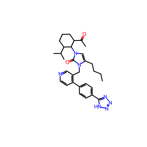 CCCCc1cn(C2C(C(C)=O)CCCC2C(C)C)c(=O)n1Cc1cnccc1-c1ccc(-c2nnn[nH]2)cc1